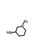 CC(C)N1CCCC([NH])C1